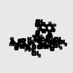 C=C[C@@H]1C[C@]1(NC(=O)[C@@H]1C[C@@H](Oc2nc3c(Cl)nccc3cc2OC)CN1C(=O)[C@@H](NC(=O)OC(C)(C)C)C(C)(C)C)C(=O)NS(=O)(=O)C1CC1